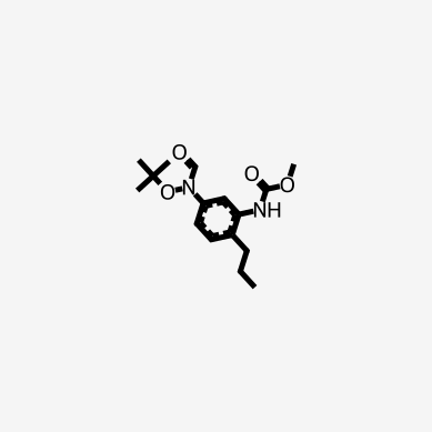 CCCc1ccc(N(C=O)OC(C)(C)C)cc1NC(=O)OC